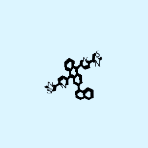 c1ccc2c(-c3ccc4c(-c5ccc(-c6cscn6)nc5)c5ccccc5c(-c5ccc(-c6cscn6)nc5)c4c3)cccc2c1